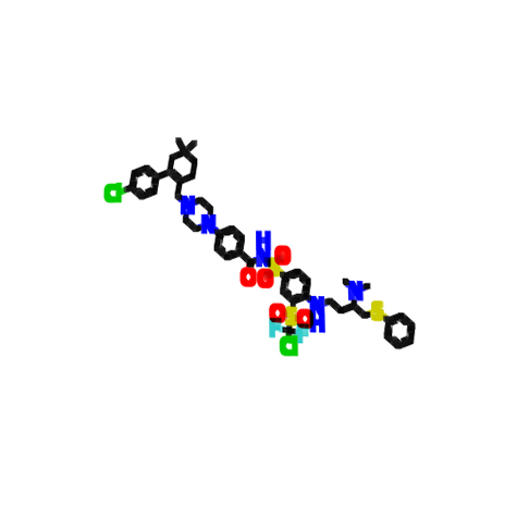 CN(C)C(CCNc1ccc(S(=O)(=O)NC(=O)c2ccc(N3CCN(CC4=C(c5ccc(Cl)cc5)CC(C)(C)CC4)CC3)cc2)cc1S(=O)(=O)C(F)(F)Cl)CSc1ccccc1